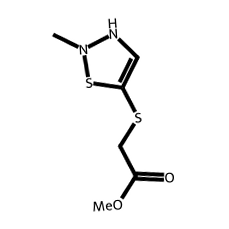 [CH2]OC(=O)CSC1=CNN(C)S1